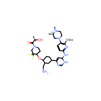 COc1nc(NC2C=C(C3CCC(OC4CCN(C(=O)[C@@H](C)O)CC4(F)F)C(CN)C3)N=CN2)ccc1N1CCN(C)[C@H](C)C1